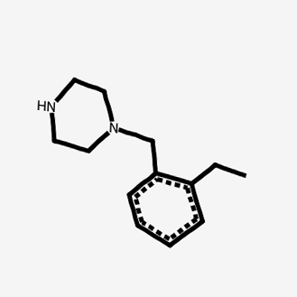 CCc1ccccc1CN1CCNCC1